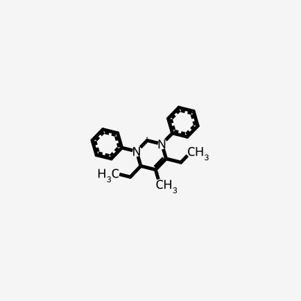 CCC1=C(C)C(CC)N(c2ccccc2)[CH]N1c1ccccc1